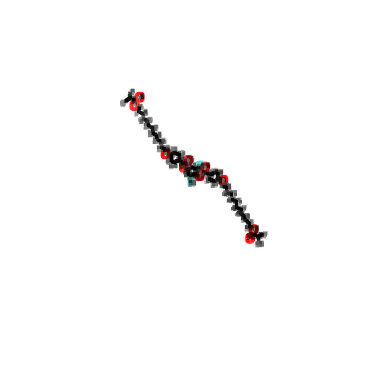 C=C(C)C(=O)OCCCCCCCCCCCCCOc1ccc(C(=O)Oc2cc(F)c(OC(=O)c3ccc(OCCCCCCCCCCCCCOC(=O)C(=C)C)cc3)c(F)c2)cc1